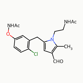 CC(=O)NCCn1c(Cc2cc(ONC(C)=O)ccc2Cl)cc(C=O)c1C